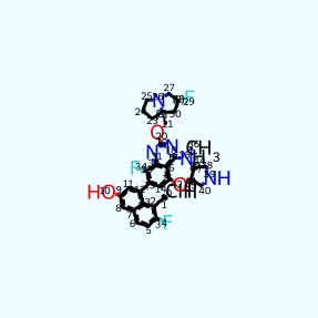 C#Cc1c(F)ccc2cc(O)cc(-c3cc4c5c(nc(OC[C@@]67CCCN6C[C@H](F)C7)nc5c3F)N(C)[C@H]3CNC[C@@H]3O4)c12